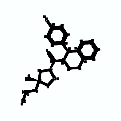 CCNC[C@]1(O)CO[C@@H](C(=O)N2CCc3ccccc3[C@@H]2c2ccc(F)cc2)C1